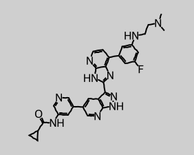 CN(C)CCNc1cc(F)cc(-c2ccnc3[nH]c(-c4n[nH]c5ncc(-c6cncc(NC(=O)C7CC7)c6)cc45)nc23)c1